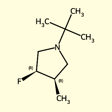 C[C@@H]1CN(C(C)(C)C)C[C@@H]1F